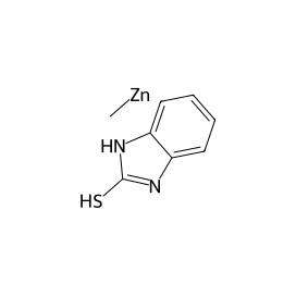 Sc1nc2ccccc2[nH]1.[CH3][Zn]